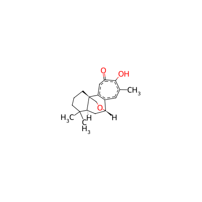 Cc1cc2c(cc(=O)c1O)[C@@]13CCCC(C)(C)[C@@H]1C[C@@H]2OC3